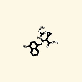 COC(=O)C(C1CC1)[C@@H](Cc1ccc(O)c2ccccc12)NC(=O)OC(C)(C)C